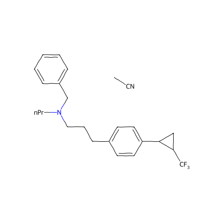 CC#N.CCCN(CCCc1ccc(C2CC2C(F)(F)F)cc1)Cc1ccccc1